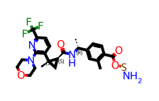 Cc1cc([C@@H](C)NC(=O)[C@H]2C[C@]2(C)c2ccc(C(F)(F)F)nc2N2CCOCC2)ccc1C(=O)OSN